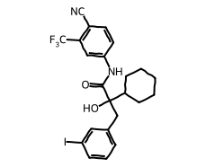 N#Cc1ccc(NC(=O)C(O)(Cc2cccc(I)c2)C2CCCCC2)cc1C(F)(F)F